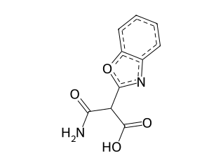 NC(=O)C(C(=O)O)c1nc2ccccc2o1